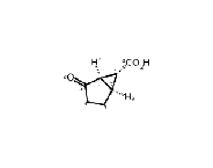 O=C(O)[C@@H]1[C@H]2CCC(=O)[C@H]21